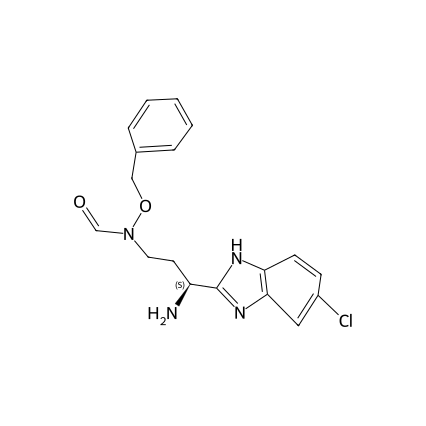 N[C@@H](CCN(C=O)OCc1ccccc1)c1nc2cc(Cl)ccc2[nH]1